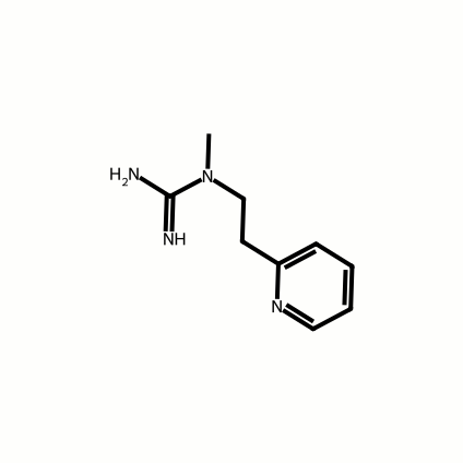 CN(CCc1ccccn1)C(=N)N